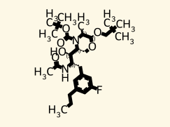 CCCc1cc(F)cc(C[C@H](NC(C)=O)[C@H](O)[C@H]2CO[C@@H](OCC(C)(C)C)[C@H](C)N2C(=O)OC(C)(C)C)c1